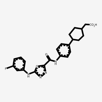 O=C(O)CC1CCC(c2ccc(NC(=O)c3nnc(Nc4cccc(F)c4)o3)cc2)CC1